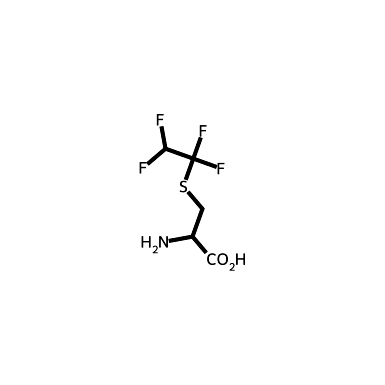 NC(CSC(F)(F)C(F)F)C(=O)O